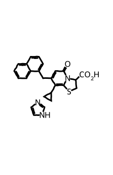 O=C(O)C1CSc2c(C3CC3)c(Cc3cccc4ccccc34)cc(=O)n21.c1c[nH]cn1